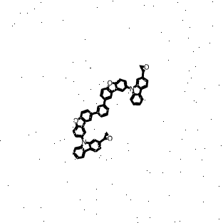 c1cc(-c2ccc3oc4ccc(-n5c6ccccc6c6ccc(C7CO7)cc65)cc4c3c2)cc(-c2ccc3oc4ccc(-n5c6ccccc6c6ccc(C7CO7)cc65)cc4c3c2)c1